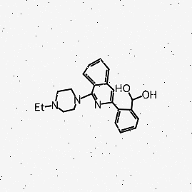 CCN1CCN(c2nc(-c3ccccc3C(O)O)cc3ccccc23)CC1